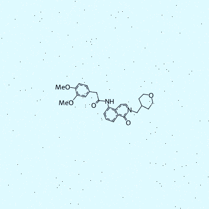 COc1ccc(CC(=O)Nc2cccc3c(=O)n(CC4CCOCC4)ccc23)cc1OC